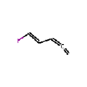 C=C=CC=CI